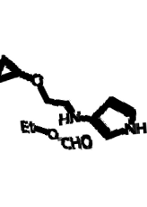 CCOC=O.c1cc(NCCOC2CC2)c[nH]1